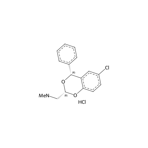 CNC[C@H]1Oc2ccc(Cl)cc2[C@@H](c2ccccc2)O1.Cl